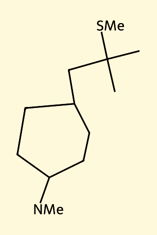 CNC1CCC(CC(C)(C)SC)CC1